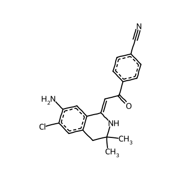 CC1(C)Cc2cc(Cl)c(N)cc2C(=CC(=O)c2ccc(C#N)cc2)N1